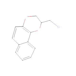 NCC1COc2ccc3ccccc3c2O1